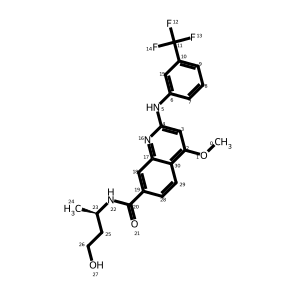 COc1cc(Nc2cccc(C(F)(F)F)c2)nc2cc(C(=O)N[C@H](C)CCO)ccc12